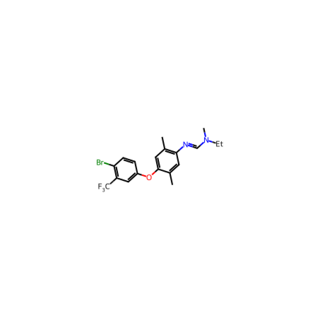 CCN(C)/C=N/c1cc(C)c(Oc2ccc(Br)c(C(F)(F)F)c2)cc1C